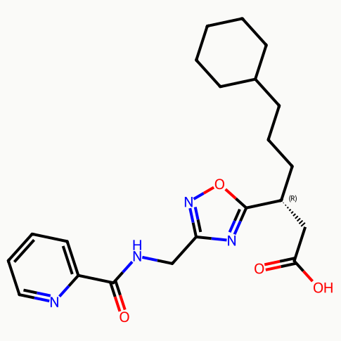 O=C(O)C[C@@H](CCCC1CCCCC1)c1nc(CNC(=O)c2ccccn2)no1